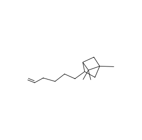 C=CCCCCC1CC2(C)CC1C2(C)C